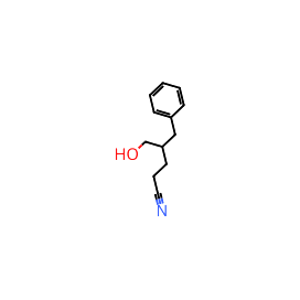 N#CCCC(CO)Cc1ccccc1